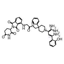 NC(N)=C(/C=C(\N)c1ccccc1O)N1CCC(CNC(=O)CNc2cccc3c2C(=O)N(C2CCC(=O)NC2=O)C3=O)(c2ccccc2)CC1